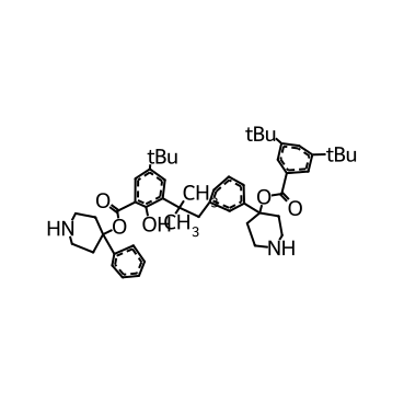 CC(C)(C)c1cc(C(=O)OC2(c3cccc(CC(C)(C)c4cc(C(C)(C)C)cc(C(=O)OC5(c6ccccc6)CCNCC5)c4O)c3)CCNCC2)cc(C(C)(C)C)c1